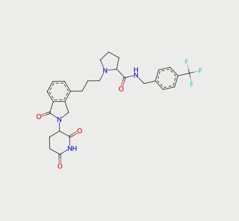 O=C1CCC(N2Cc3c(CCCN4CCCC4C(=O)NCc4ccc(C(F)(F)F)cc4)cccc3C2=O)C(=O)N1